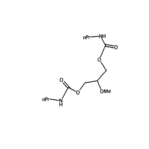 CCCNC(=O)OCC(COC(=O)NCCC)OC